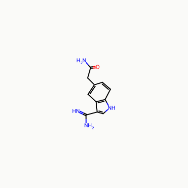 N=C(N)c1c[nH]c2ccc(CC(N)=O)cc12